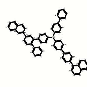 c1ccc(-c2ccc(N(c3ccc(-c4ccc(-c5cccc6ccccc56)cc4)cc3)c3ccc(-c4cc(-c5ccc6ccccc6c5)ccc4-c4ccccc4)cc3)cc2)cc1